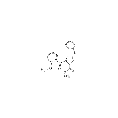 COC(=O)[C@@H]1C[C@@H](Oc2ccccc2)CN1C(=O)c1ccccc1OC